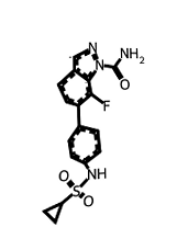 NC(=O)n1n[c]c2ccc(-c3ccc(NS(=O)(=O)C4CC4)cc3)c(F)c21